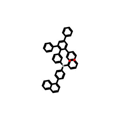 c1ccc(-c2cc(-c3ccccc3)c(-c3cccc(N(c4ccccc4)c4ccc(-c5cccc6ccccc56)cc4)c3)c(-c3ccccc3)c2)cc1